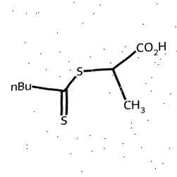 CCCCC(=S)SC(C)C(=O)O